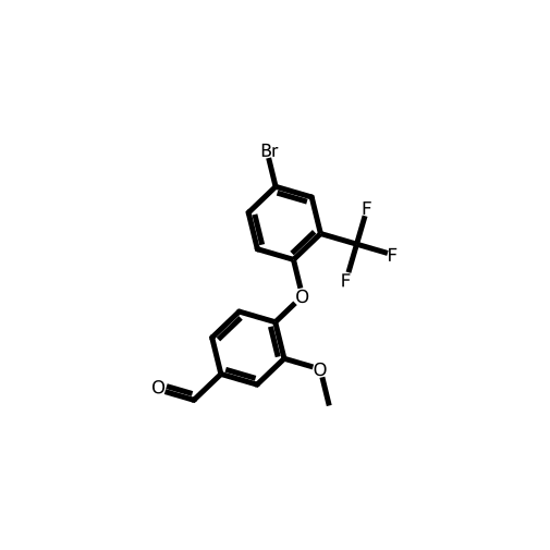 COc1cc(C=O)ccc1Oc1ccc(Br)cc1C(F)(F)F